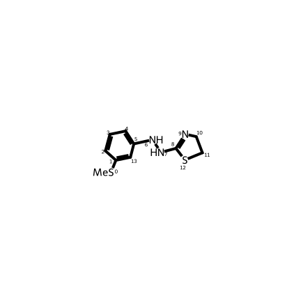 CSc1cccc(NNC2=NCCS2)c1